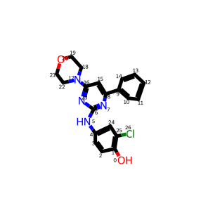 Oc1ccc(Nc2nc(-c3ccccc3)cc(N3CCOCC3)n2)cc1Cl